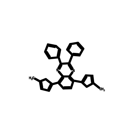 CC1=CC=C(c2ccc(C3=CC=C(C)C3)c3nc(-c4ccccc4)c(-c4ccccc4)nc23)C1